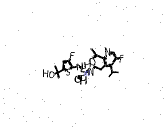 CC(C)c1ncc(F)c(C(C)C)c1CC(=O)/N=[SH](=O)\Nc1sc(C(C)(C)O)cc1F